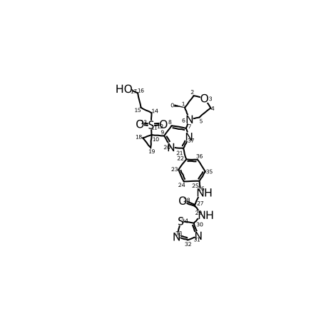 C[C@H]1COCCN1c1cc(C2(S(=O)(=O)CCCO)CC2)nc(-c2ccc(NC(=O)Nc3ncns3)cc2)n1